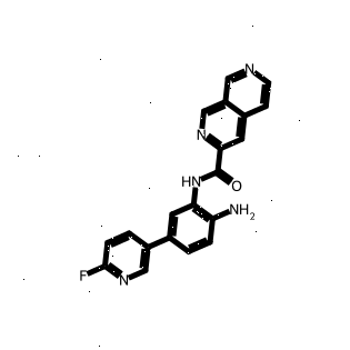 Nc1ccc(-c2ccc(F)nc2)cc1NC(=O)c1cc2ccncc2cn1